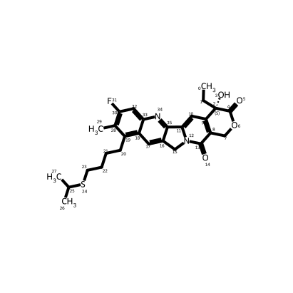 CC[C@@]1(O)C(=O)OCc2c1cc1n(c2=O)Cc2cc3c(CCCCSC(C)C)c(C)c(F)cc3nc2-1